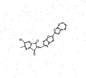 CCc1cc2c(cc1C)C(=O)/C(=C/c1cc3oc(-c4cc5ccccc5o4)cc3s1)C2=O